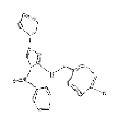 O=C(c1ccccc1)n1nc(-c2ccccc2)cc1NCc1ccc(Cl)cc1